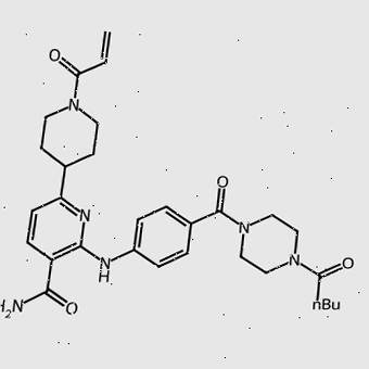 C=CC(=O)N1CCC(c2ccc(C(N)=O)c(Nc3ccc(C(=O)N4CCN(C(=O)CCCC)CC4)cc3)n2)CC1